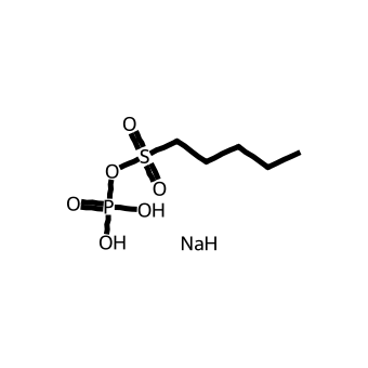 CCCCCS(=O)(=O)OP(=O)(O)O.[NaH]